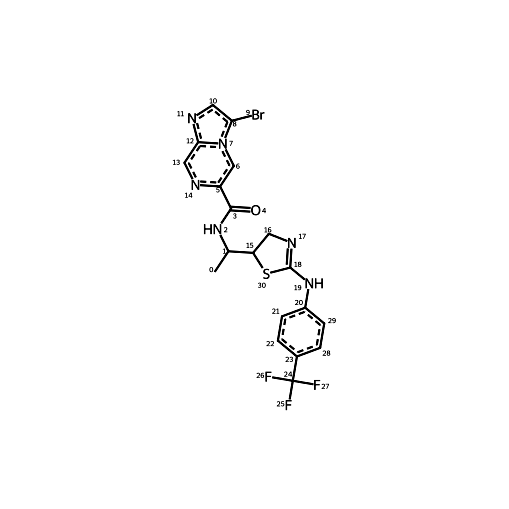 CC(NC(=O)c1cn2c(Br)cnc2cn1)C1CN=C(Nc2ccc(C(F)(F)F)cc2)S1